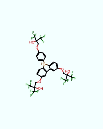 OC(COc1ccc([SH]2c3ccc(OCC(O)(C(F)(F)F)C(F)(F)F)cc3-c3cc(OCC(O)(C(F)(F)F)C(F)(F)F)ccc32)cc1)(C(F)(F)F)C(F)(F)F